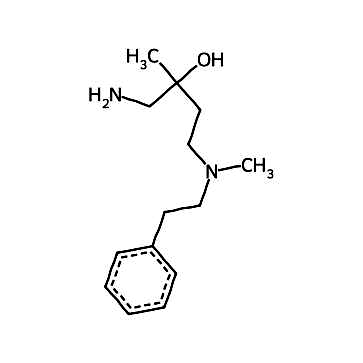 CN(CCc1ccccc1)CCC(C)(O)CN